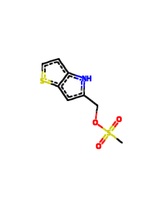 CS(=O)(=O)OCc1cc2sccc2[nH]1